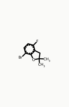 CC1(C)Cc2c(F)ccc(Br)c2O1